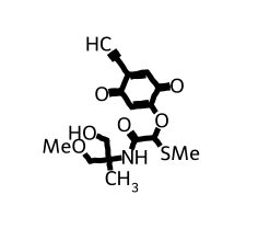 C#CC1=CC(=O)C(OC(SC)C(=O)NC(C)(CO)COC)=CC1=O